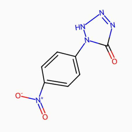 O=c1nn[nH]n1-c1ccc([N+](=O)[O-])cc1